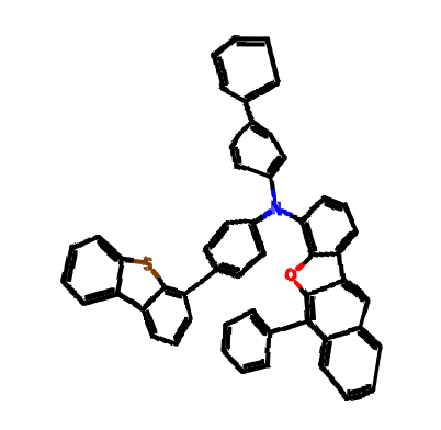 c1ccc(-c2ccc(N(c3ccc(-c4cccc5c4sc4ccccc45)cc3)c3cccc4c3oc3c(-c5ccccc5)c5ccccc5cc34)cc2)cc1